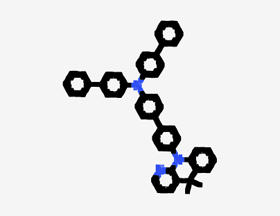 CC1(C)c2ccccc2N(c2ccc(-c3ccc(N(c4ccc(-c5ccccc5)cc4)c4ccc(-c5ccccc5)cc4)cc3)cc2)c2ncccc21